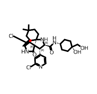 CC1(C)CCC2(CC1)N[C@@H](C(=O)N[C@H]1CC[C@](O)(CO)CC1)[C@H](c1ccnc(Cl)c1)[C@]21C(=O)Nc2cc(Cl)ccc21